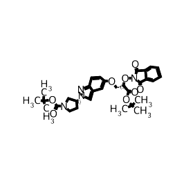 CC(C)(C)OC(=O)[C@H](COc1ccc2nn([C@@H]3CCN(C(=O)OC(C)(C)C)C3)cc2c1)ON1C(=O)c2ccccc2C1=O